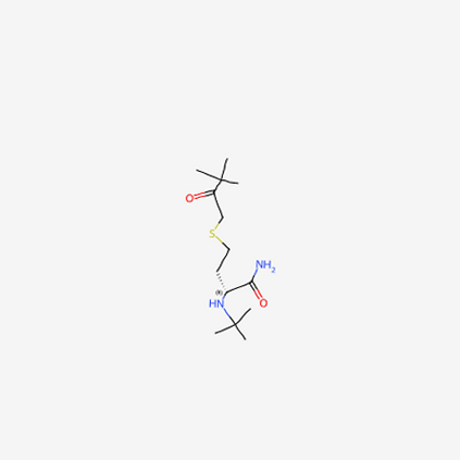 CC(C)(C)N[C@H](CCSCC(=O)C(C)(C)C)C(N)=O